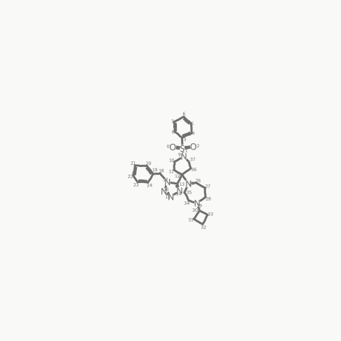 O=S(=O)(c1ccccc1)N1CCC(c2nnnn2Cc2ccccc2)(N2CCCN(C3CCC3)CC2)CC1